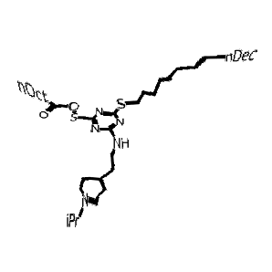 CCCCCCCCCCCCCCCCCCSc1nc(NCCC2CCN(C(C)C)CC2)nc(SOC(=O)CCCCCCCC)n1